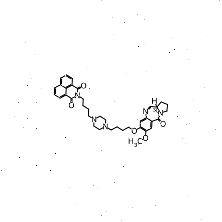 COc1cc2c(cc1OCCCCN1CCN(CCCCN3C(=O)c4cccc5cccc(c45)C3=O)CC1)N=C[C@@H]1CCCN1C2=O